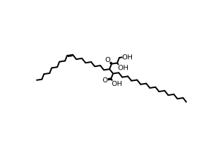 CCCCCCCC/C=C\CCCCCCCC(C(=O)C(O)CO)C(CCCCCCCCCCCCCCCC)C(=O)O